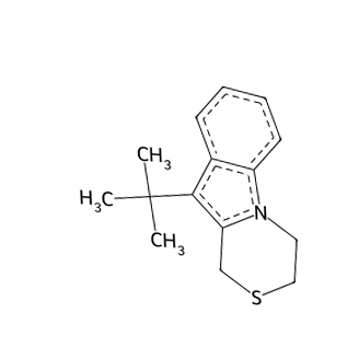 CC(C)(C)c1c2n(c3ccccc13)CCSC2